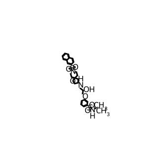 CC(C)NS(=O)(=O)c1cccc(OC[C@@H](O)CNC2COC3(CCN(S(=O)(=O)c4ccc5ccccc5c4)CC3)C2)c1